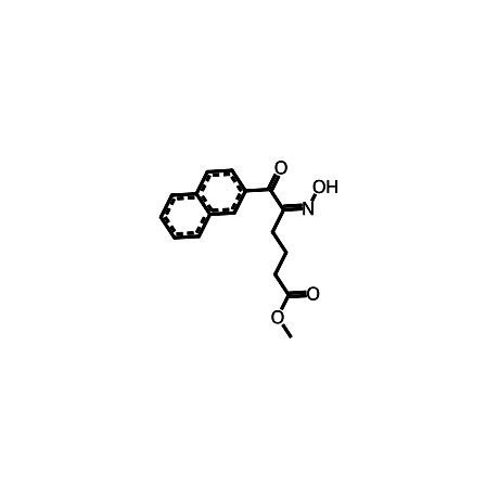 COC(=O)CCC/C(=N/O)C(=O)c1ccc2ccccc2c1